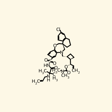 C=CCNC(C)(C)C(=O)NS(=O)(=O)c1ccc2c(c1)N(C[C@@H]1CC[C@H]1[C@H](C=C)OC(=O)N(C)C)C[C@@]1(CCCc3cc(Cl)ccc31)CO2